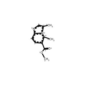 COC(=O)c1ccc2ncc(C)n2c1C